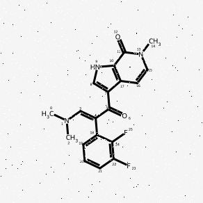 CN(C)C=C(C(=O)c1c[nH]c2c(=O)n(C)ccc12)c1cccc(F)c1F